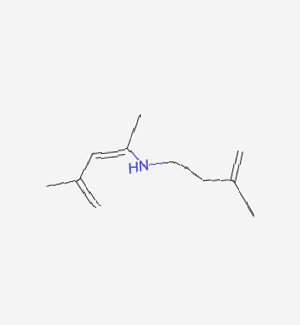 C=C(C)/C=C(/C)NCCC(=C)C